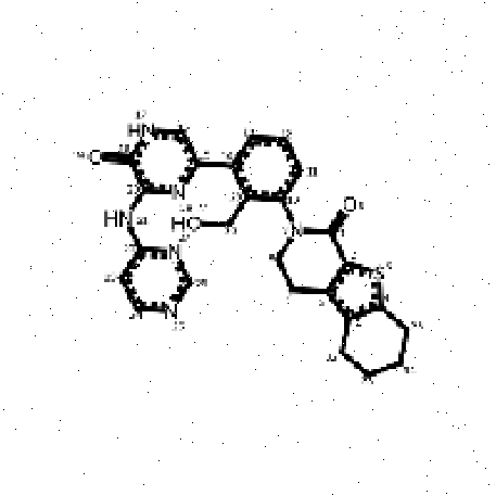 O=C1c2sc3c(c2CCN1c1cccc(-c2c[nH]c(=O)c(Nc4ccncn4)n2)c1CO)CCCC3